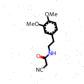 COc1ccc(CCNC(=O)CC#N)cc1OC